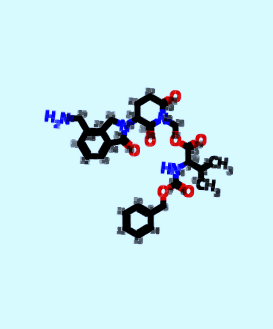 CC(C)[C@@H](NC(=O)OCc1ccccc1)C(=O)OCN1C(=O)CCC(N2Cc3c(CN)cccc3C2=O)C1=O